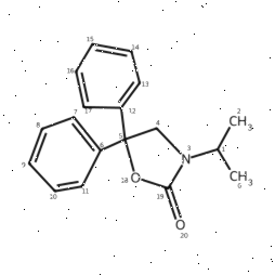 CC(C)N1CC(c2ccccc2)(c2ccccc2)OC1=O